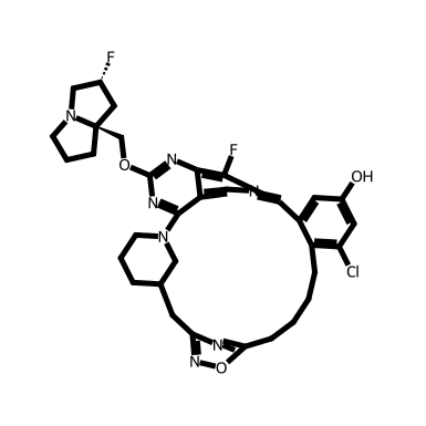 Oc1cc(Cl)c2c(c1)-c1ncc3c(nc(OC[C@@]45CCCN4C[C@H](F)C5)nc3c1F)N1CCCC(Cc3noc(n3)CCCC2)C1